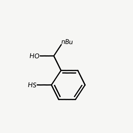 CCCCC(O)c1ccccc1S